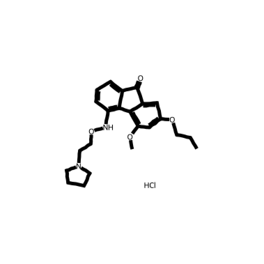 CCCOc1cc(OC)c2c(c1)C(=O)c1cccc(NOCCN3CCCC3)c1-2.Cl